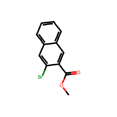 COC(=O)c1cc2ccccc2cc1Br